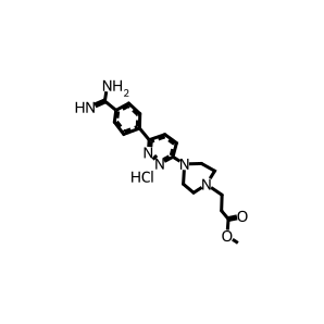 COC(=O)CCN1CCN(c2ccc(-c3ccc(C(=N)N)cc3)nn2)CC1.Cl